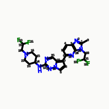 Cc1nc2ccc(-c3ccn4nc(NC5CCN(CC(F)F)CC5)ncc34)nc2n1CC(F)F